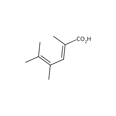 CC(=CC(C)=C(C)C)C(=O)O